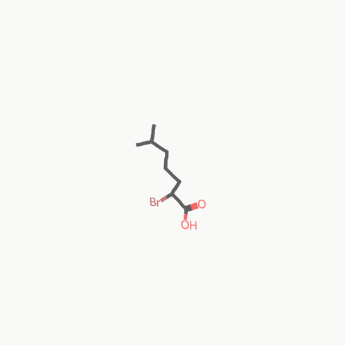 CC(C)CCCC(Br)C(=O)O